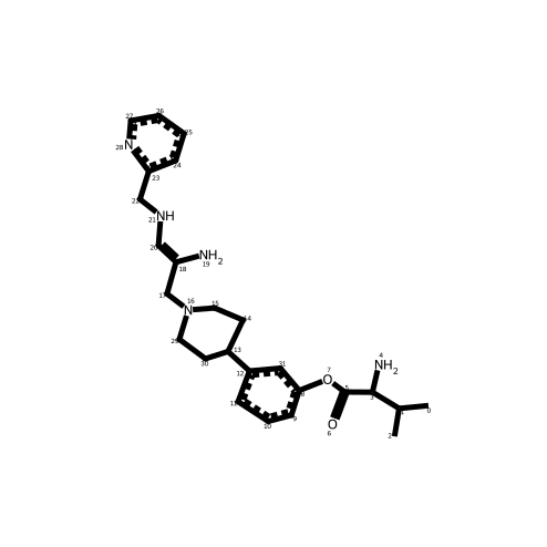 CC(C)C(N)C(=O)Oc1cccc(C2CCN(C/C(N)=C/NCc3ccccn3)CC2)c1